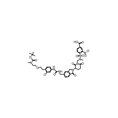 CN(CCOCCc1ccc(NC(=O)NCc2ccc3c(c2)CN(C2CCC(=O)N(CN(C)S(=O)(=O)c4ccc(C(=O)O)cc4[N+](=O)[O-])C2=O)C3=O)cc1Cl)C(=O)OC(C)(C)C